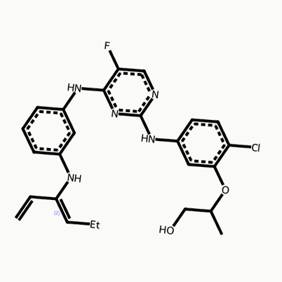 C=C/C(=C/CC)Nc1cccc(Nc2nc(Nc3ccc(Cl)c(OC(C)CO)c3)ncc2F)c1